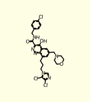 O=C(NCc1ccc(Cl)cc1)c1nnc2c(CCCn3cnc(Cl)c3Cl)cc(CN3CCOCC3)cc2c1O